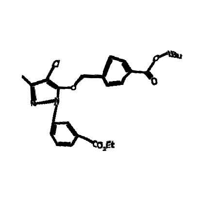 CCOC(=O)c1cccc(-n2nc(C)c(Cl)c2OCc2ccc(C(=O)OC(C)(C)C)cc2)c1